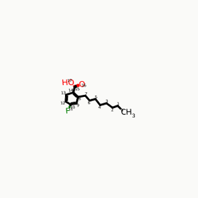 CCCCCCCCc1cc(F)ccc1C(=O)O